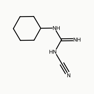 N#CNC(=N)NC1CCCCC1